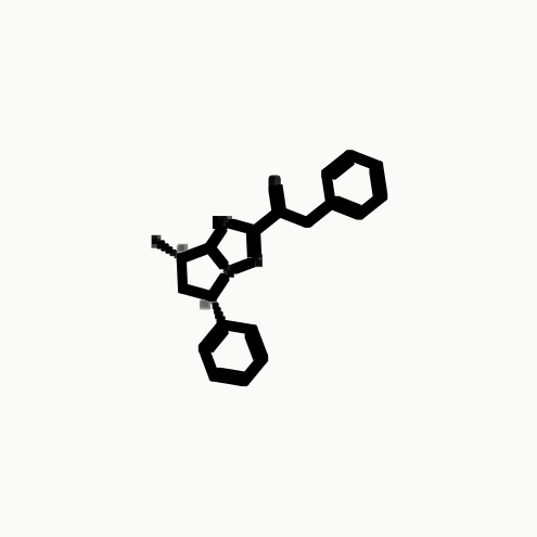 O=C(Cc1ccccc1)C1=NN2C(N1)[C@@H](F)C[C@H]2c1ccccc1